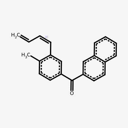 C=C/C=C\c1cc(C(=O)c2ccc3ccccc3c2)ccc1C